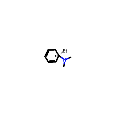 CC[C@]1(N(C)C)C=CC=CC1